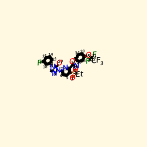 CCS(=O)(=O)c1ccc(-n2ncn(-c3cccc(F)c3)c2=O)nc1-c1nc2cc(OC(F)(F)C(F)(F)F)ccc2o1